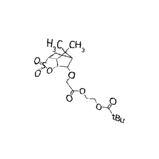 CC(C)(C)C(=O)OCCOC(=O)COC1C2OS(=O)(=O)C3CC1C(C)(C)C23